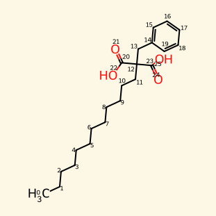 CCCCCCCCCCCCC(Cc1ccccc1)(C(=O)O)C(=O)O